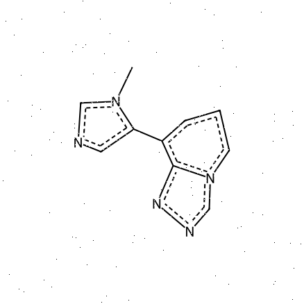 Cn1cncc1-c1cccn2cnnc12